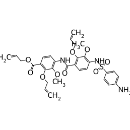 C=CCOC(=O)c1ccc(NC(=O)c2ccc(NS(=O)(=O)c3ccc(N)cc3)c(OC)c2OCC=C)c(OC)c1OCC=C